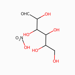 O=CC(O)C(O)C(O)C(O)CO.O=[N+]([O-])O